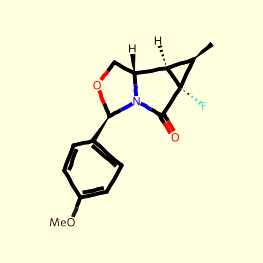 COc1ccc([C@H]2OC[C@@H]3[C@H]4[C@@H](C)[C@@]4(F)C(=O)N23)cc1